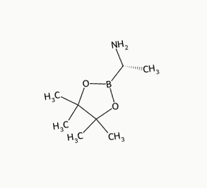 C[C@@H](N)B1OC(C)(C)C(C)(C)O1